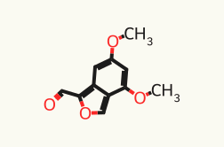 COc1cc(OC)c2coc(C=O)c2c1